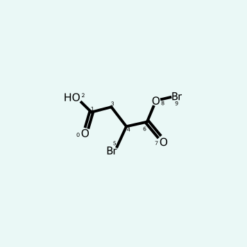 O=C(O)CC(Br)C(=O)OBr